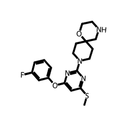 CSc1cc(Oc2cccc(F)c2)nc(N2CCC3(CC2)CNCCO3)n1